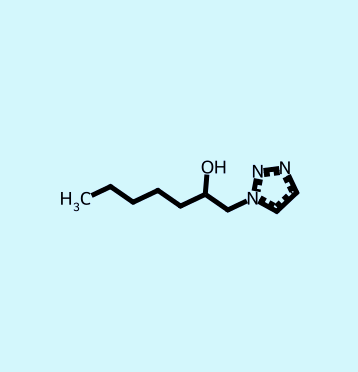 CCCCCC(O)Cn1ccnn1